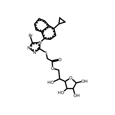 O=C(CSc1nnc(Br)n1-c1ccc(C2CC2)c2ccccc12)OCC(O)C1OC(O)C(O)C1O